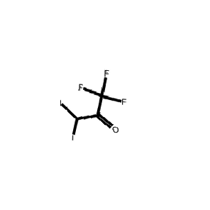 O=C(C(I)I)C(F)(F)F